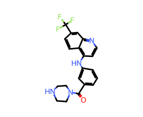 O=C(c1cccc(Nc2ccnc3cc(C(F)(F)F)ccc23)c1)N1CCNCC1